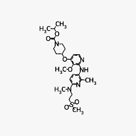 COc1c(OC2CCN(C(=O)OC(C)C)CC2)ccnc1Nc1ccc(N(C)CCS(C)(=O)=O)nc1C